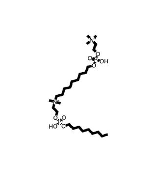 CCCCCCCCCOP(=O)(O)OCC[N+](C)(C)CCCCCCCCCOP(=O)(O)OCC[N+](C)(C)C